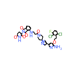 Nc1ncc(-c2cnn(C3CCN(C(=O)CCNc4cccc5c4C(=O)N([C@@H]4CCC(=O)NC4=O)C5=O)CC3)c2)cc1OCCc1c(Cl)ccc(F)c1Cl